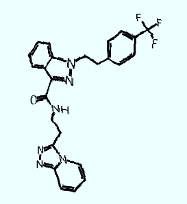 O=C(NCCc1nnc2ccccn12)c1nn(CCc2ccc(C(F)(F)F)cc2)c2ccccc12